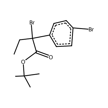 CCC(Br)(C(=O)OC(C)(C)C)c1ccc(Br)cc1